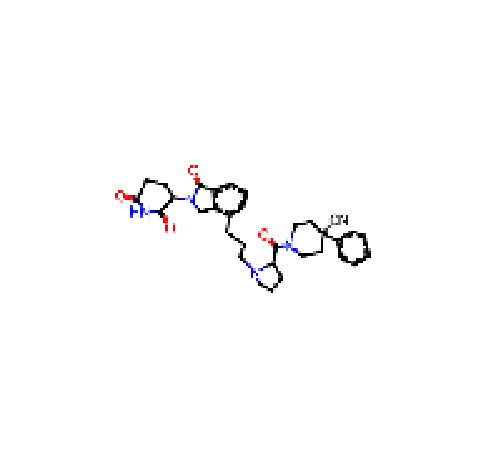 N#CC1(c2ccccc2)CCN(C(=O)C2CCCN2CCCc2cccc3c2CN(C2CCC(=O)NC2=O)C3=O)CC1